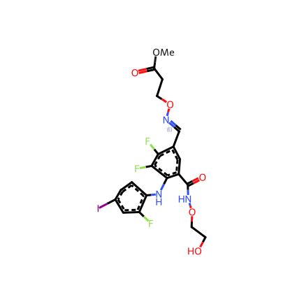 COC(=O)CCO/N=C/c1cc(C(=O)NOCCO)c(Nc2ccc(I)cc2F)c(F)c1F